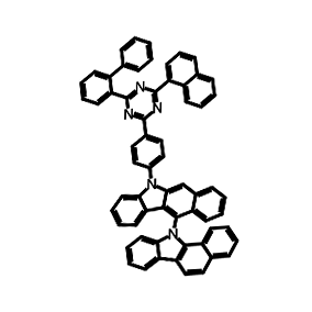 c1ccc(-c2ccccc2-c2nc(-c3ccc(-n4c5ccccc5c5c(-n6c7ccccc7c7ccc8ccccc8c76)c6ccccc6cc54)cc3)nc(-c3cccc4ccccc34)n2)cc1